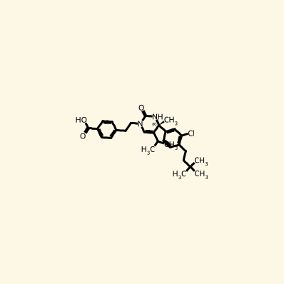 CC(C)C1=CN(CCc2ccc(C(=O)O)cc2)C(=O)N[C@]1(C)c1ccc(CCC(C)(C)C)c(Cl)c1